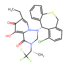 CCc1cn2c(c(O)c1=O)C(=O)N([C@H](C)C(F)(F)F)CN2[C@@H]1c2ccccc2SCc2cccc(Cl)c21